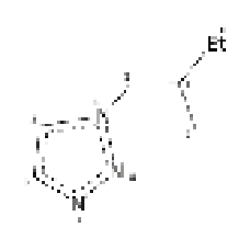 CCC(C)Cn1ccnn1